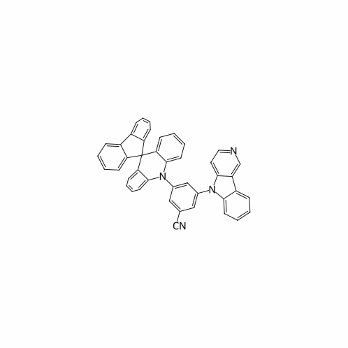 N#Cc1cc(N2c3ccccc3C3(c4ccccc4-c4ccccc43)c3ccccc32)cc(-n2c3ccccc3c3cnccc32)c1